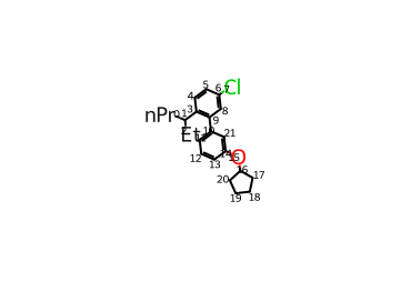 CCCC(CC)c1ccc(Cl)cc1-c1cccc(OC2CCCC2)c1